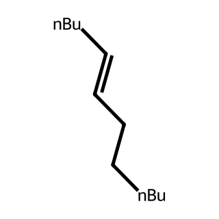 C[CH]CCCCC=CCCCC